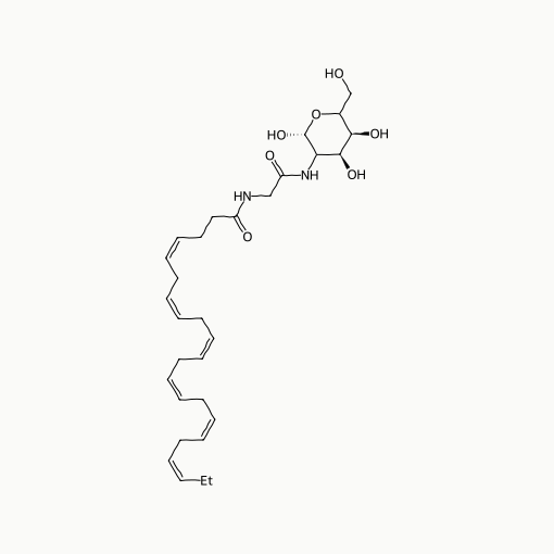 CC/C=C\C/C=C\C/C=C\C/C=C\C/C=C\C/C=C\CCC(=O)NCC(=O)NC1[C@H](O)OC(CO)[C@@H](O)[C@H]1O